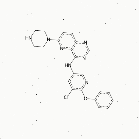 Clc1cc(Nc2ncnc3ccc(N4CCNCC4)nc23)cnc1Oc1ccccc1